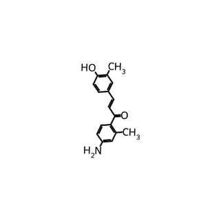 Cc1cc(/C=C/C(=O)c2ccc(N)cc2C)ccc1O